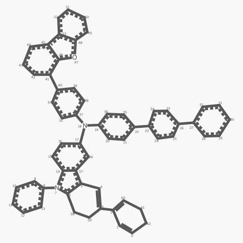 C1=CC(C2=Cc3c(n(-c4ccccc4)c4ccc(N(c5ccc(-c6ccc(-c7ccccc7)cc6)cc5)c5ccc(-c6cccc7c6oc6ccccc67)cc5)cc34)CC2)=CCC1